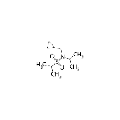 CC(C)N(CC1CC1)S(=O)(=O)C(C)C